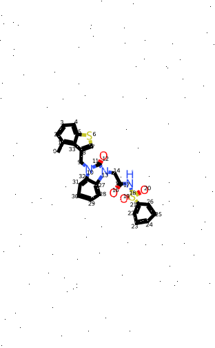 Cc1cccc2scc(Cn3c(=O)n(CC(=O)NS(=O)(=O)c4ccccc4)c4ccccc43)c12